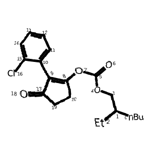 CCCCC(CC)COC(=O)OC1=C(c2ccccc2Cl)C(=O)CC1